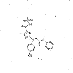 Cc1sc(N(CC(=O)N(C)c2ccccc2)c2ccc(C#N)cc2)nc1C(=O)NS(C)(=O)=O